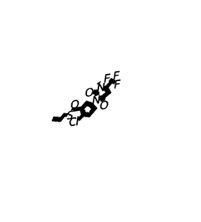 C=CCSC(=O)c1cc(-n2c(=O)cc(C(F)(F)F)n(C)c2=O)ccc1Cl